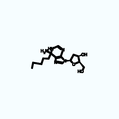 CCCCCC1(N)NC=Nc2c1ncn2[C@H]1C[C@H](O)[C@@H](CO)O1